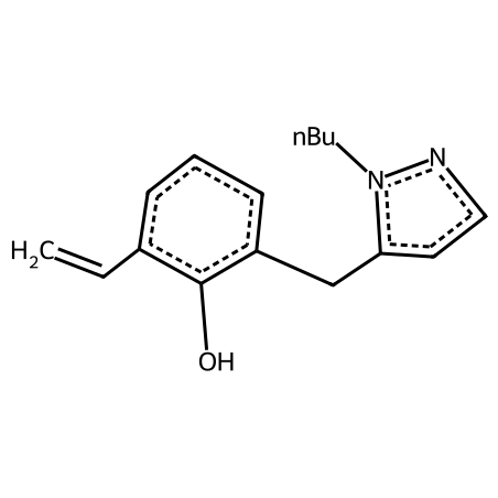 C=Cc1cccc(Cc2ccnn2CCCC)c1O